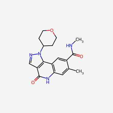 CNC(=O)c1cc2c(cc1C)[nH]c(=O)c1cnn(C3CCOCC3)c12